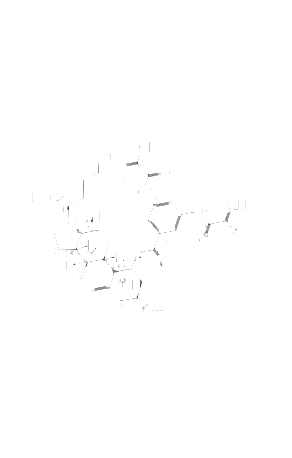 C=C(C)C(=O)Oc1cc(OC(=O)C(=C)C)cc(C(=O)OC2C[C@H](O)CC3=CC[C@H]4[C@@H]5CC[C@H]([C@H](C)CCCC(C)C)[C@@]5(C)CC[C@@H]4[C@]32C)c1